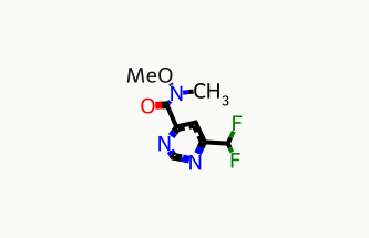 CON(C)C(=O)c1cc(C(F)F)ncn1